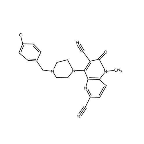 Cn1c(=O)c(C#N)c(N2CCN(Cc3ccc(Cl)cc3)CC2)c2nc(C#N)ccc21